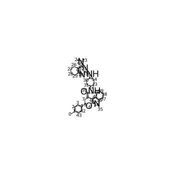 Cc1ccc(C(=O)CC(C(=O)NC2CCC(Nc3nc4c(c(N(C)C)n3)CCCC4)CC2)c2cn(C)c3ccccc23)cc1